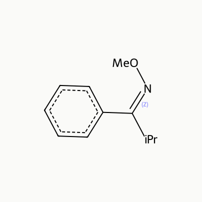 CO/N=C(\c1ccccc1)C(C)C